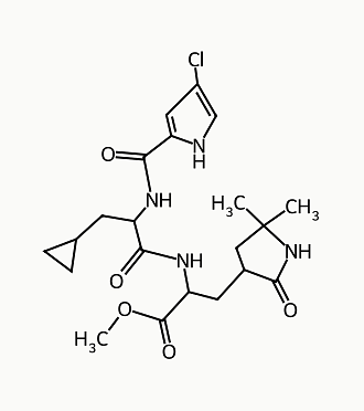 COC(=O)C(CC1CC(C)(C)NC1=O)NC(=O)C(CC1CC1)NC(=O)c1cc(Cl)c[nH]1